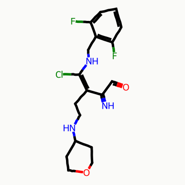 N=C(C=O)/C(CCNC1CCOCC1)=C(/Cl)NCc1c(F)cccc1F